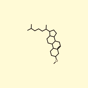 COC1CCC2C(=CCC3C2CCC2C(C(C)CCCC(C)C)CCC23)C1